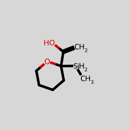 C=C(O)C1([SiH2]C)CCCCO1